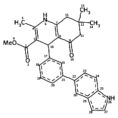 COC(=O)C1=C(C)NC2=C(C(=O)CC(C)(C)C2)C1c1cccc(-c2ccc3[nH]ccc3c2)c1